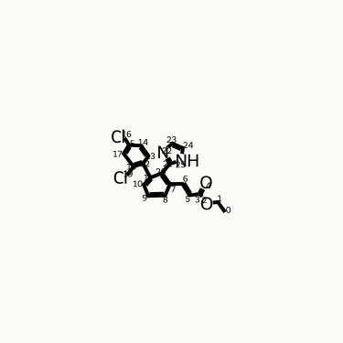 CCOC(=O)C=Cc1cccc(-c2ccc(Cl)cc2Cl)c1-c1ncc[nH]1